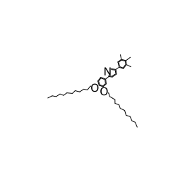 CCCCCCCCCCCCOc1ccc(-c2ccc(-c3cc(C)c(C)c(C)c3)cn2)cc1OCCCCCCCCCCCC